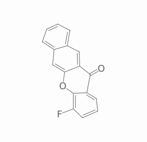 O=c1c2cc3ccccc3cc2oc2c(F)cccc12